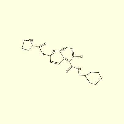 O=C(NCC1CCCCC1)c1c(Cl)ccc2nc(OC(=O)[C@@H]3CCCN3)ccc12